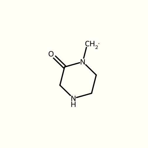 [CH2]N1CCNCC1=O